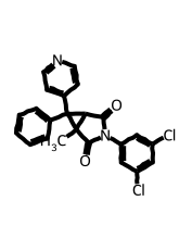 CC12C(=O)N(c3cc(Cl)cc(Cl)c3)C(=O)C1C2(c1ccccc1)c1ccncc1